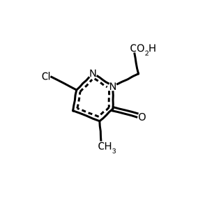 Cc1cc(Cl)nn(CC(=O)O)c1=O